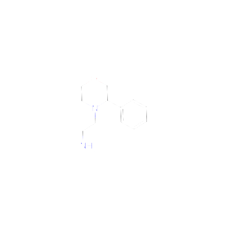 NCCN1CCOCC1c1ccccc1